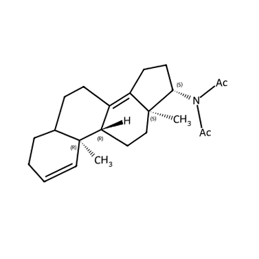 CC(=O)N(C(C)=O)[C@H]1CCC2=C3CCC4CCC=C[C@]4(C)[C@H]3CC[C@@]21C